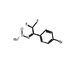 CC(C)(C)[S@+]([O-])N=C(c1ccc(Br)cc1)C(F)F